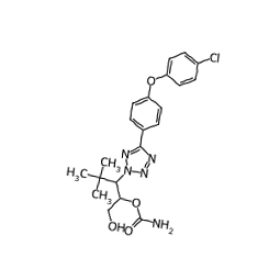 CC(C)(C)C(C(CO)OC(N)=O)n1nnc(-c2ccc(Oc3ccc(Cl)cc3)cc2)n1